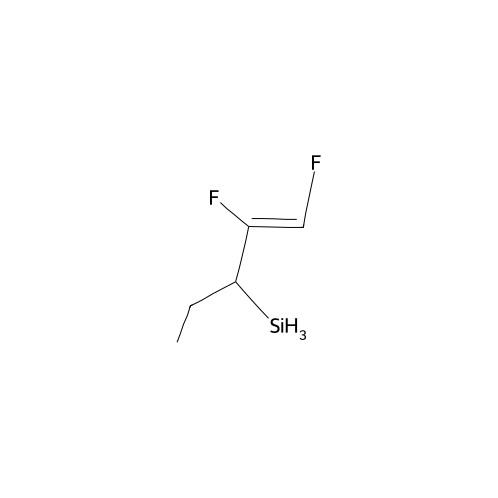 CCC([SiH3])C(F)=CF